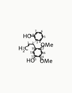 C=C[C@H](c1ccccc1O)c1cc(O)c(OC)cc1OC